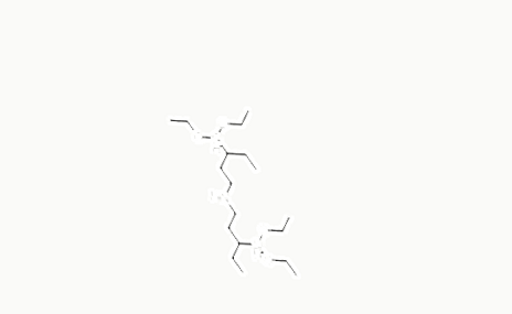 CCO[SiH](OCC)C(CC)CCNCCC(CC)[SiH](OCC)OCC